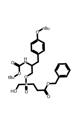 CCCCOc1ccc(CC(COP(=O)(CO)CCC(=O)OCc2ccccc2)NC(=O)OC(C)(C)C)cc1